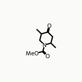 COC(=O)N1CC(C)C(=O)CC1C